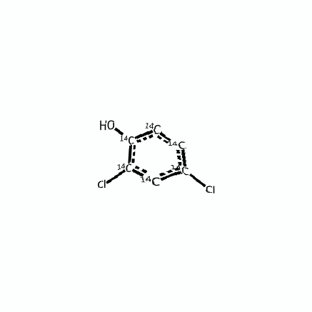 O[14c]1[14cH][14cH][14c](Cl)[14cH][14c]1Cl